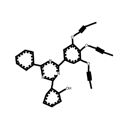 CC#COc1cc(-c2nc(-c3ccccc3)nc(-c3ccccc3O)n2)cc(OC#CC)c1OC#CC